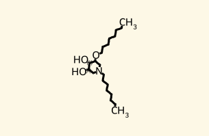 CCCCCCCCOC1CN(CCCCCCCC)C[C@@H](O)[C@@H]1O